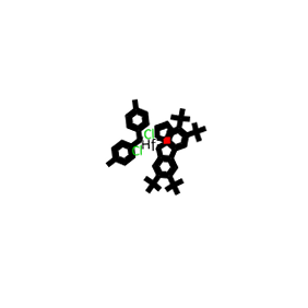 Cc1ccc([C](c2ccc(C)cc2)=[Hf]([Cl])([Cl])([CH]2C=CC=C2)[CH]2c3cc(C(C)(C)C)c(C(C)(C)C)cc3-c3cc(C(C)(C)C)c(C(C)(C)C)cc32)cc1